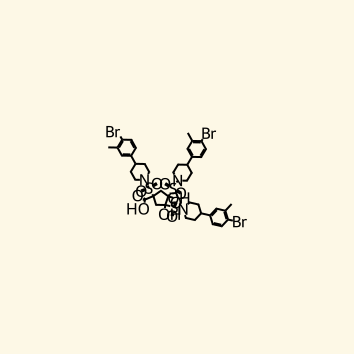 Cc1cc(C2CCN(S(=O)(=O)C3(C(=O)O)CC(O)(S(=O)(=O)N4CCC(c5ccc(Br)c(C)c5)CC4)C(O)(S(=O)(=O)N4CCC(c5ccc(Br)c(C)c5)CC4)C3)CC2)ccc1Br